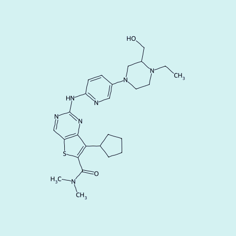 CCN1CCN(c2ccc(Nc3ncc4sc(C(=O)N(C)C)c(C5CCCC5)c4n3)nc2)CC1CO